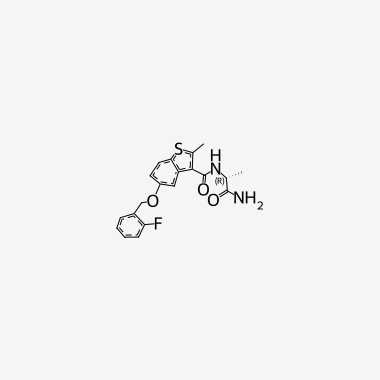 Cc1sc2ccc(OCc3ccccc3F)cc2c1C(=O)N[C@H](C)C(N)=O